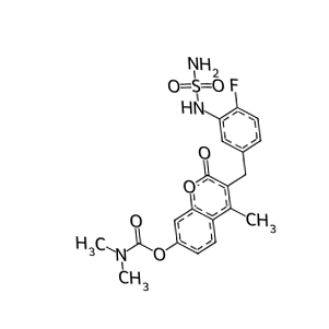 Cc1c(Cc2ccc(F)c(NS(N)(=O)=O)c2)c(=O)oc2cc(OC(=O)N(C)C)ccc12